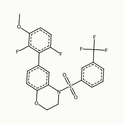 COc1ccc(F)c(-c2ccc3c(c2)N(S(=O)(=O)c2cccc(C(F)(F)F)c2)CCO3)c1F